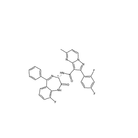 Cc1ccn2nc(-c3ccc(F)cc3F)c(C(=O)N[C@H]3N=C(c4ccccc4)c4cccc(F)c4NC3=O)c2n1